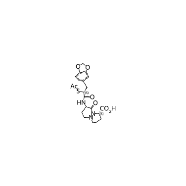 CC(=O)S[C@@H](Cc1ccc2c(c1)OCO2)C(=O)NC1CCN2CCC[C@@H](C(=O)O)N2C1=O